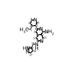 CCc1ccncc1-c1cc2cc(NCc3ccn[nH]3)ncc2c(N)n1